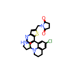 O=C1CCC(=O)N1Cc1cc2ncc(F)c(-c3cc(Cl)cc4c3N(C3CCNC3)CCC4)c2s1